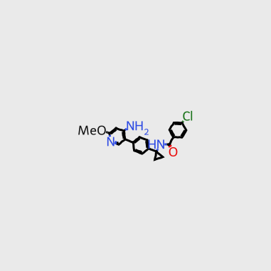 COc1cc(N)c(-c2ccc(C3(NC(=O)c4ccc(Cl)cc4)CC3)cc2)cn1